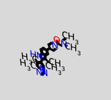 CCCN(C)CC(=O)N1CCC(c2ccc3[nH]c(-c4cn5ncnc5c(C)c4C)c(C(C)C)c3c2)CC1